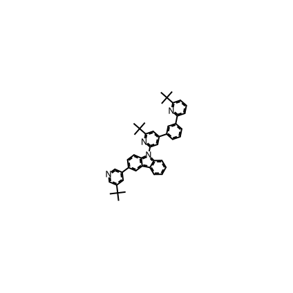 CC(C)(C)c1cncc(-c2ccc3c(c2)c2ccccc2n3-c2cc(-c3cccc(-c4cccc(C(C)(C)C)n4)c3)cc(C(C)(C)C)n2)c1